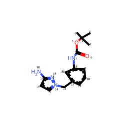 CC(C)(C)OC(=O)Nc1cccc(Cn2ccc(N)n2)c1